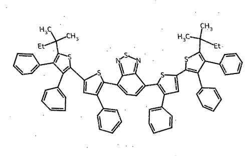 CCC(C)(C)c1sc(-c2cc(-c3ccccc3)c(-c3ccc(-c4sc(-c5sc(C(C)(C)CC)c(-c6ccccc6)c5-c5ccccc5)cc4-c4ccccc4)c4nsnc34)s2)c(-c2ccccc2)c1-c1ccccc1